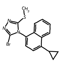 CSc1nnc(Br)n1-c1ccc(C2CC2)c2ccccc12